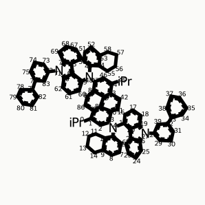 CC(C)c1cc(N(c2cccc3c2CCCC3)c2cccc3c2c2ccccc2n3-c2cccc(-c3ccccc3)c2)c2ccc3c(C(C)C)cc(N(c4cccc5c4CCCC5)c4cccc5c4c4ccccc4n5-c4cccc(-c5ccccc5)c4)c4ccc1c2c34